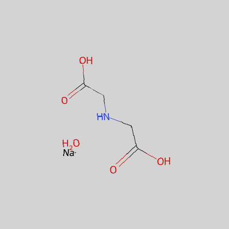 O.O=C(O)CNCC(=O)O.[Na]